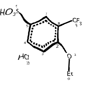 CCOc1ccc(S(=O)(=O)O)cc1C(F)(F)F.Cl